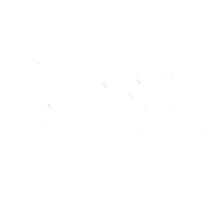 CCN(c1ccccc1)S(=O)(=O)c1ccc(-n2nc(C)c(Cc3ccccc3C(=O)O)c2O)nc1